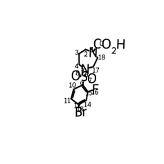 O=C(O)N1CCCN(S(=O)(=O)c2ccc(Br)cc2F)CC1